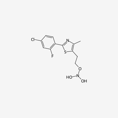 Cc1nc(-c2ccc(Cl)cc2F)sc1CCON(O)O